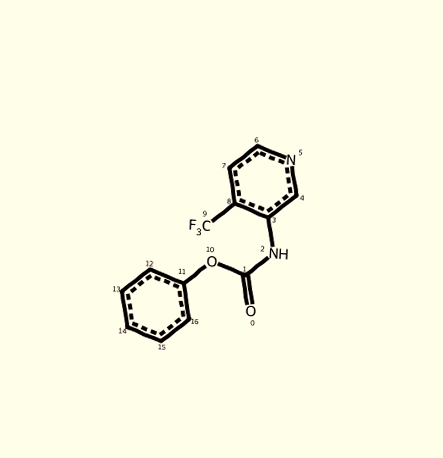 O=C(Nc1cnccc1C(F)(F)F)Oc1ccccc1